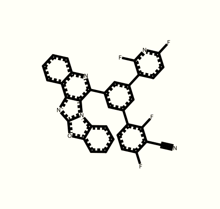 N#Cc1c(F)ccc(-c2cc(-c3ccc(F)nc3F)cc(-c3nc4ccccc4c4nc5oc6ccccc6n5c34)c2)c1F